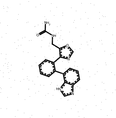 NC(=O)NCc1ocnc1-c1ccccc1-c1cccc2nc[nH]c12